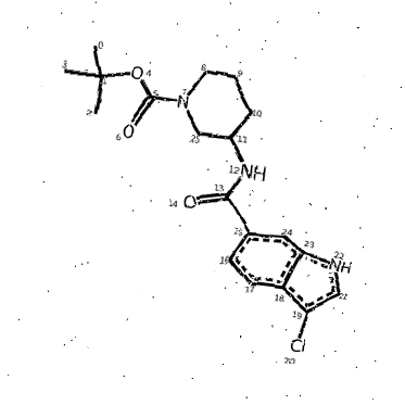 CC(C)(C)OC(=O)N1CCCC(NC(=O)c2ccc3c(Cl)c[nH]c3c2)C1